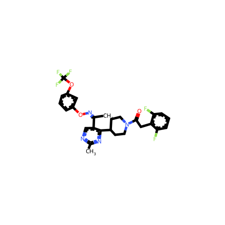 CC(=NOc1cccc(OC(F)(F)F)c1)c1cnc(C)nc1C1CCN(C(=O)Cc2c(F)cccc2F)CC1